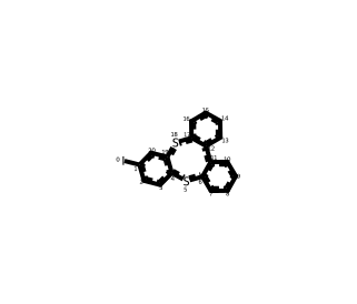 Ic1ccc2sc3ccccc3c3ccccc3sc2c1